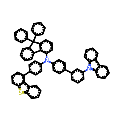 c1ccc(C2(c3ccccc3)c3ccccc3-c3c(N(c4ccc(-c5cccc(-n6c7ccccc7c7ccccc76)c5)cc4)c4ccc(-c5cccc6sc7ccccc7c56)cc4)cccc32)cc1